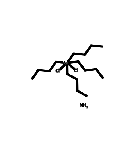 CCC[CH2][Au]([Cl])([Cl])([CH2]CCC)([CH2]CCC)[CH2]CCC.N